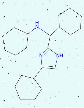 c1[nH]c(C(NC2CCCCC2)C2CCCCC2)nc1C1CCCCC1